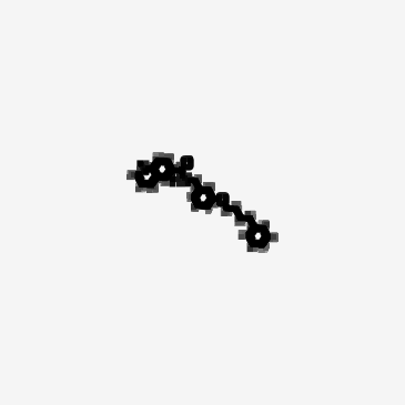 O=C(NCc1cccc(OCCCCc2ccccc2)c1)c1ccc2ncccc2c1